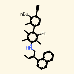 C#Cc1ccc(-c2c(C)c(C)c(NC/C(=C\C)c3cccc4ccccc34)c(C)c2CC)c(C)c1CCCC